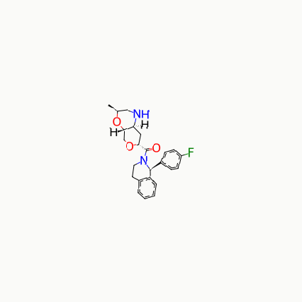 C[C@H]1CN[C@H]2C[C@H](C(=O)N3CCc4ccccc4[C@@H]3c3ccc(F)cc3)OC[C@@H]2O1